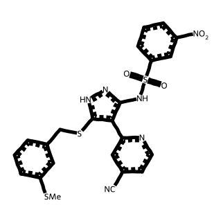 CSc1cccc(CSc2[nH]nc(NS(=O)(=O)c3cccc([N+](=O)[O-])c3)c2-c2cc(C#N)ccn2)c1